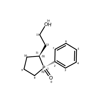 O=[P@@]1(c2ccccc2)CCC[C@H]1CCO